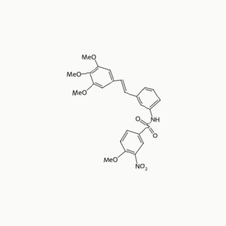 COc1ccc(S(=O)(=O)Nc2cccc(C=Cc3cc(OC)c(OC)c(OC)c3)c2)cc1[N+](=O)[O-]